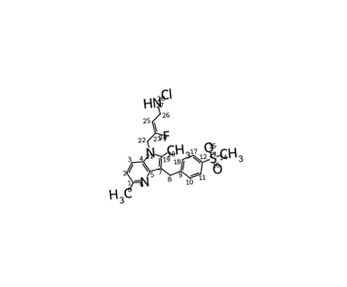 Cc1ccc2c(n1)c(Cc1ccc(S(C)(=O)=O)cc1)c(C)n2C/C(F)=C/CNCl